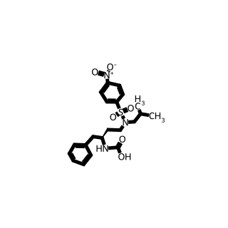 CC(C)CN(CC[C@H](Cc1ccccc1)NC(=O)O)S(=O)(=O)c1ccc([N+](=O)[O-])cc1